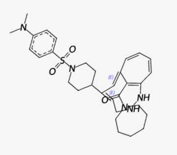 CN(C)c1ccc(S(=O)(=O)N2CCC(C3=C\CNNC4=C(C(=O)N5CCCCCC5)\C(=C\3)C=CC=C4)CC2)cc1